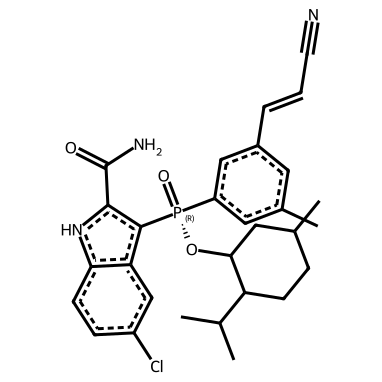 Cc1cc(C=CC#N)cc([P@@](=O)(OC2CC(C)CCC2C(C)C)c2c(C(N)=O)[nH]c3ccc(Cl)cc23)c1